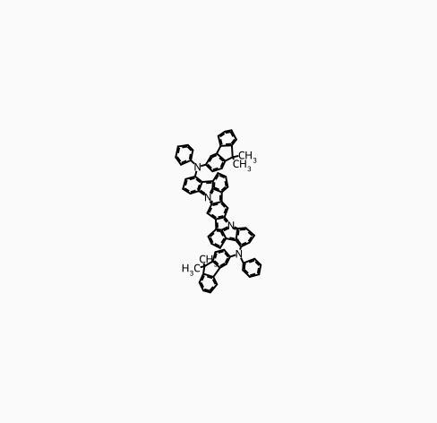 CC1(C)c2ccccc2-c2cc(N(c3ccccc3)c3cccc4c3c3cccc5c6cc7c(cc6n4c53)c3cccc4c5c(N(c6ccccc6)c6ccc8c(c6)-c6ccccc6C8(C)C)cccc5n7c34)ccc21